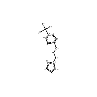 FC(F)(F)c1ccc(OCCc2ncc[nH]2)cc1